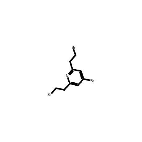 BrCCc1cc(Br)cc(CCBr)n1